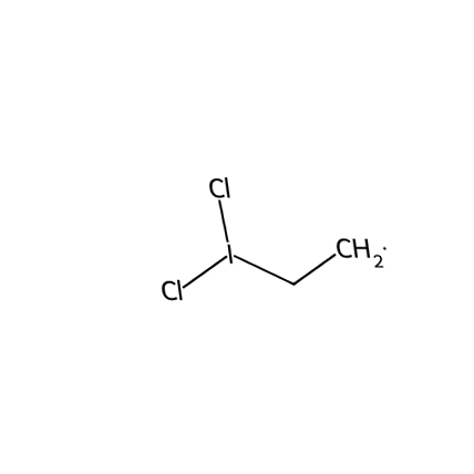 [CH2]CI(Cl)Cl